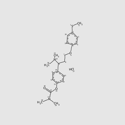 CSc1ccc(OCCC(c2ccc(OC(=O)N(C)C)cc2)N(C)C)cc1.Cl